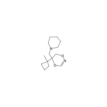 CC1(C2(CN3CCCCC3)CON=CO2)CCC1